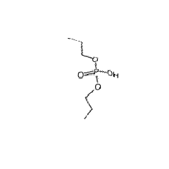 CCCOP(=O)(O)OCCC